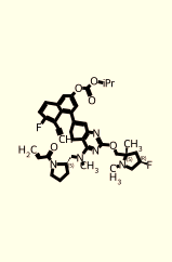 C#Cc1c(F)ccc2cc(OC(=O)OC(C)C)cc(C3=Cc4nc(OC[C@]5(C)C[C@@H](F)CN5C)nc(N(C)C[C@@H]5CCCN5C(=O)C=C)c4CC3)c12